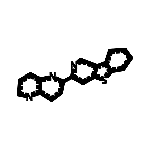 c1cnc2ccc(-c3cc4sc5ccccc5c4cn3)nc2c1